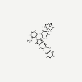 Nc1ncccc1-c1nc2ccc(Sc3ccccc3)nc2n1-c1ccc(C2(NC(=O)O)CCC2)cc1